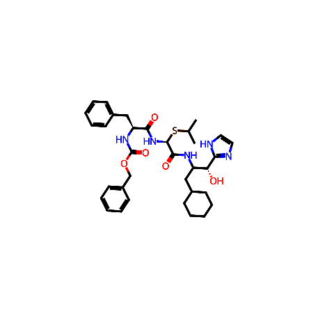 CC(C)S[C@H](NC(=O)[C@H](Cc1ccccc1)NC(=O)OCc1ccccc1)C(=O)NC(CC1CCCCC1)[C@@H](O)c1ncc[nH]1